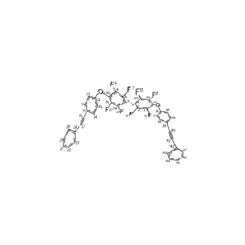 Fc1c(F)c(-c2c(F)c(F)c(Oc3ccc(C#Cc4ccccc4)cc3)c(F)c2F)c(F)c(F)c1Oc1ccc(C#Cc2ccccc2)cc1